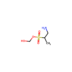 CC(CN)S(=O)(=O)OCO